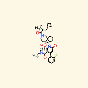 CC(CC1CCC1)C(=O)N1CC[C@](O)(Cn2cc(C(=O)N(C)C)c(-c3ccccc3F)cc2=O)C2(CCCC2)C1